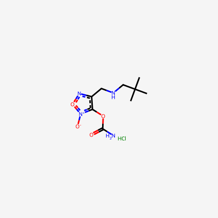 CC(C)(C)CNCc1no[n+]([O-])c1OC(N)=O.Cl